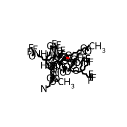 CCOP(=O)(OCCC#N)OCC(COCC(CCCNC(=O)C(F)(F)F)(CCCNC(=O)C(F)(F)F)CCCNC(=O)C(F)(F)F)OP(=O)(O)OCC(C)(COP(=O)(O)OCCCCCOC(=O)CC)COP(=O)(O)OC(COCC(CCCC(F)(F)F)(CCCC(F)(F)F)CCCC(F)(F)F)COP(=O)(OCC)OCCC#N